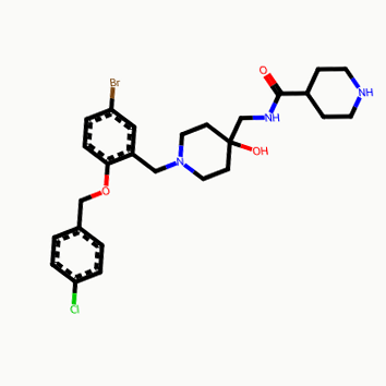 O=C(NCC1(O)CCN(Cc2cc(Br)ccc2OCc2ccc(Cl)cc2)CC1)C1CCNCC1